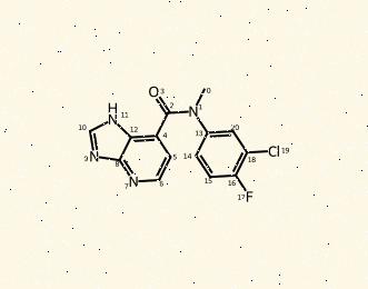 CN(C(=O)c1ccnc2nc[nH]c12)c1ccc(F)c(Cl)c1